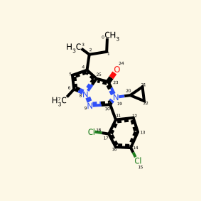 CCC(C)c1cc(C)n2nc(-c3ccc(Cl)cc3Cl)n(C3CC3)c(=O)c12